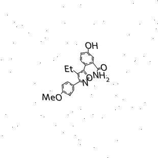 CCc1c(-c2ccc(OC)cc2)noc1-c1ccc(O)cc1C(N)=O